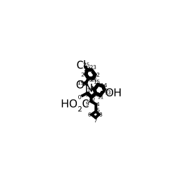 Cc1c([C@H](CC2CCC2)C(=O)O)c2cc(O)ccc2n1C(=O)c1cccc(Cl)c1